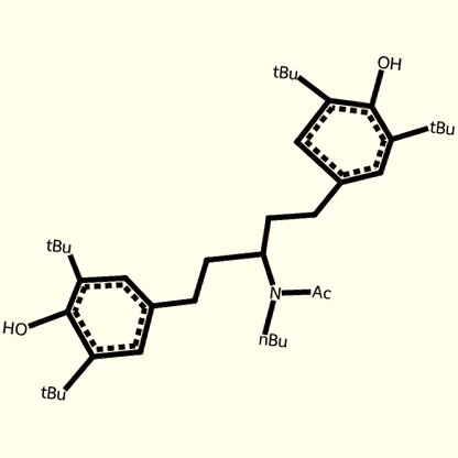 CCCCN(C(C)=O)C(CCc1cc(C(C)(C)C)c(O)c(C(C)(C)C)c1)CCc1cc(C(C)(C)C)c(O)c(C(C)(C)C)c1